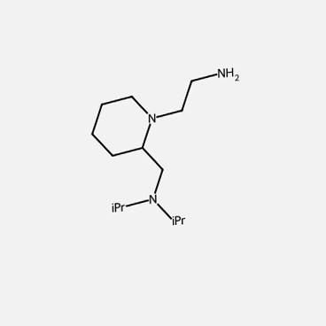 CC(C)N(CC1CCCCN1CCN)C(C)C